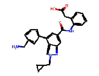 NCc1cccc(-c2cc(C(=O)Nc3ccccc3CC(=O)O)cc3nn(CC4CC4)cc23)c1